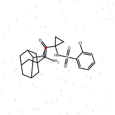 NC(=O)C12CC3CC(C1)C(NC(=O)C1(NS(=O)(=O)c4ccccc4Cl)CC1)C(C3)C2